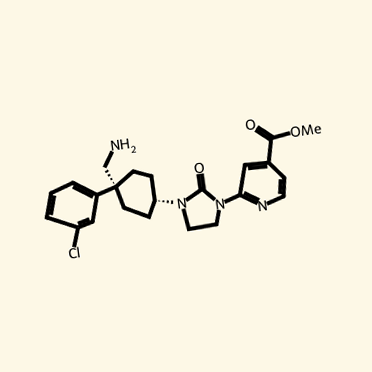 COC(=O)c1ccnc(N2CCN([C@H]3CC[C@](CN)(c4cccc(Cl)c4)CC3)C2=O)c1